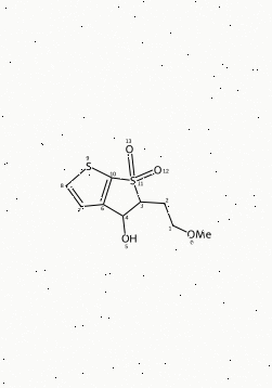 COCCC1C(O)c2ccsc2S1(=O)=O